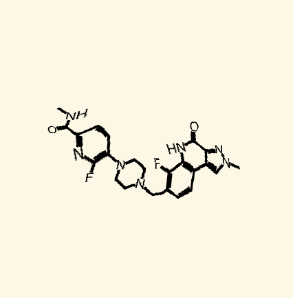 CNC(=O)c1ccc(N2CCN(Cc3ccc4c([nH]c(=O)c5nn(C)cc54)c3F)CC2)c(F)n1